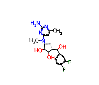 Cc1cc(N(C)[C@@H]2C[C@H]([C@@H](O)c3ccc(F)c(F)c3)[C@@H](O)[C@H]2O)nc(N)n1